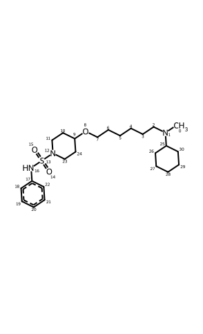 CN(CCCCCCOC1CCN(S(=O)(=O)Nc2ccccc2)CC1)C1CCCCC1